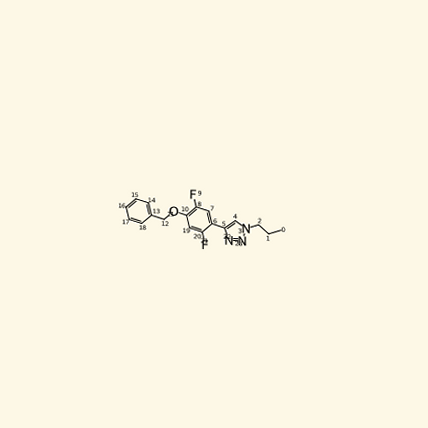 CCCn1cc(-c2cc(F)c(OCc3ccccc3)cc2F)nn1